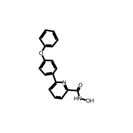 O=C(NO)c1cccc(-c2ccc(Oc3ccccc3)cc2)n1